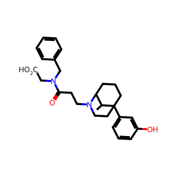 CC1C2CCCC1(c1cccc(O)c1)CCN2CCC(=O)N(CC(=O)O)Cc1ccccc1